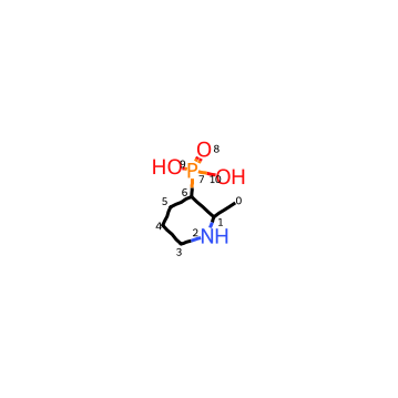 CC1NCCCC1P(=O)(O)O